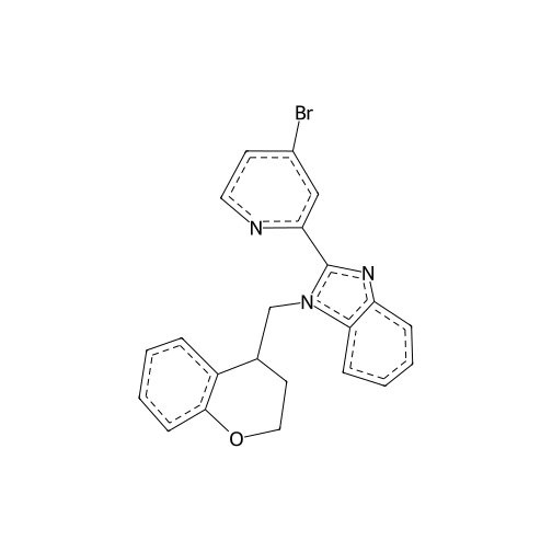 Brc1ccnc(-c2nc3ccccc3n2CC2CCOc3ccccc32)c1